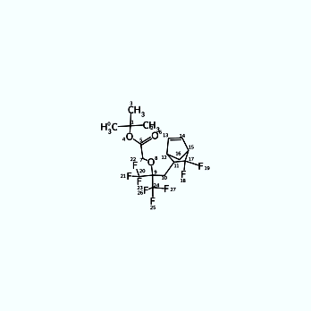 CC(C)(C)OC(=O)COC(CC1C2C=CC(C2)C1(F)F)(C(F)(F)F)C(F)(F)F